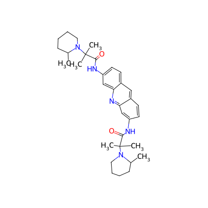 CC1CCCCN1C(C)(C)C(=O)Nc1ccc2cc3ccc(NC(=O)C(C)(C)N4CCCCC4C)cc3nc2c1